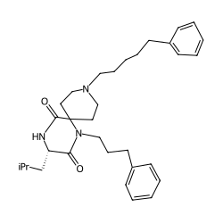 CC(C)C[C@@H]1NC(=O)C2(CCN(CCCCCc3ccccc3)CC2)N(CCCc2ccccc2)C1=O